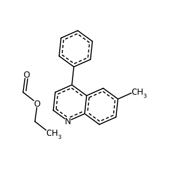 CCOC=O.Cc1ccc2nccc(-c3ccccc3)c2c1